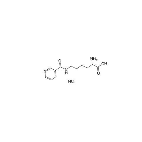 Cl.N[C@@H](CCCCNC(=O)c1cccnc1)C(=O)O